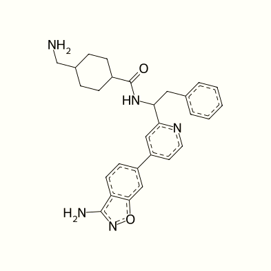 NCC1CCC(C(=O)NC(Cc2ccccc2)c2cc(-c3ccc4c(N)noc4c3)ccn2)CC1